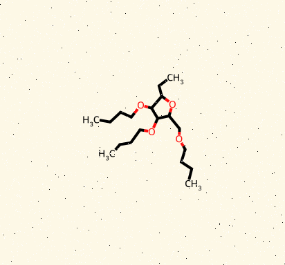 CCCCOCC1OC(CC)C(OCCCC)C1OCCCC